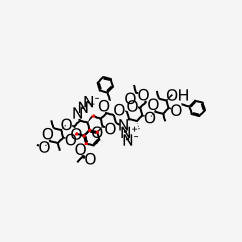 CO[C@@H]1OC(C)[C@H](O[C@@H]2OC(COC(C)=O)[C@@H](O[C@@H]3OC(C)C(O[C@@H]4OC(COC(C)=O)[C@@H](O[C@@H]5OC(C)[C@@H](O)[C@@H](OCc6ccccc6)C5C)[C@H](C)C4N=[N+]=[N-])[C@@H](OCc4ccccc4)C3C)[C@H](C)C2N=[N+]=[N-])[C@@H](OCc2ccccc2)C1C